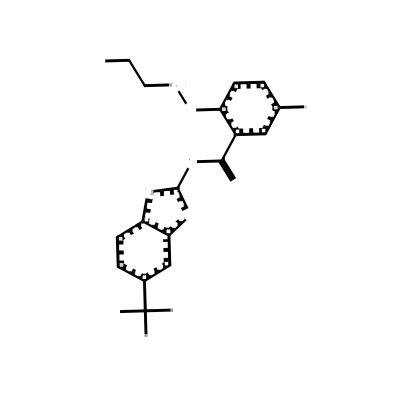 O=C(Nc1nc2ccc(C(F)(F)F)cc2s1)c1cc(Cl)ccc1ONCCO